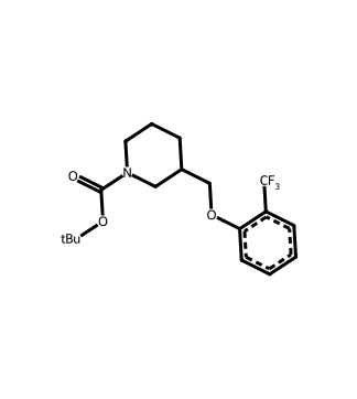 CC(C)(C)OC(=O)N1CCCC(COc2ccccc2C(F)(F)F)C1